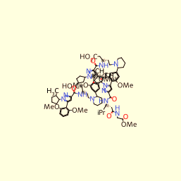 COC(=O)CNC(=O)C[C@H](CC(C)C)NC(=O)c1cc(-c2c(OC)cc(C3CCCCN3CC[C@@H](CC(=O)O)NC(=O)c3cc(-c4c(OC)cc(C5CCCCN5CC[C@@H](CC(=O)O)NC(=O)c5cc(-c6c(OC)cccc6OC)n(C6CCCC6C)n5)cc4OC)n(C4CCCC4)n3)cc2OC)n(C2CCC(C)C2C)n1